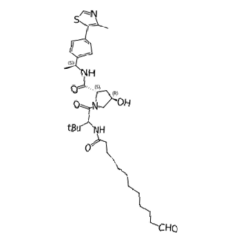 Cc1ncsc1-c1ccc([C@H](C)NC(=O)[C@@H]2C[C@@H](O)CN2C(=O)C(NC(=O)CCCCCCCCCCC=O)C(C)(C)C)cc1